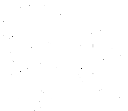 Cl.Cl.NCC1OC(C2CCN(c3ccccc3Cl)CC2)Cc2c1ccc(O)c2O